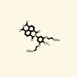 CCCCCCCCCCCCOc1cc(N2C(=O)c3ccc4c5c(ccc(c35)C2=O)C(=O)OC4=O)cc(OCCCCCCCCCCCC)c1C